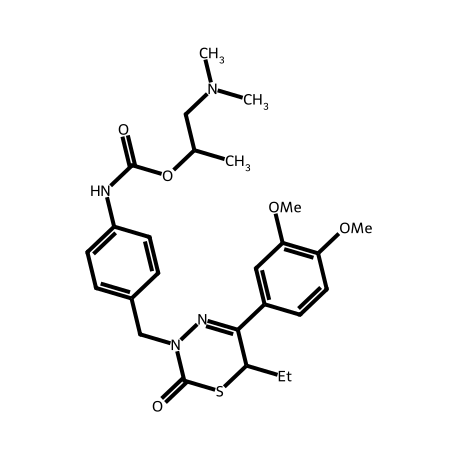 CCC1SC(=O)N(Cc2ccc(NC(=O)OC(C)CN(C)C)cc2)N=C1c1ccc(OC)c(OC)c1